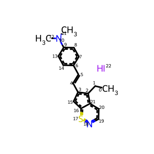 CCc1c(C=Cc2ccc(N(C)C)cc2)cc2snccc1-2.I